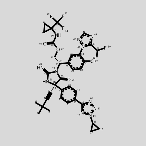 CC(C)(C)C#C[C@]1(c2ccc(-c3nnn(C4CC4)n3)cc2)NC(=N)N([C@H](COC(=O)NC2(C(F)(F)F)CC2)c2ccc(Cl)c(-n3ncnc3C(F)F)c2)C1=O